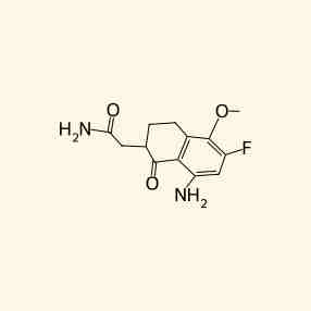 COc1c(F)cc(N)c2c1CCC(CC(N)=O)C2=O